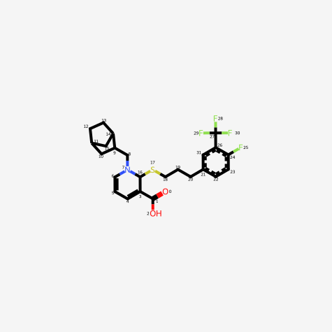 O=C(O)C1=CC=CN(CC2CC3CCC2C3)C1SCCCc1ccc(F)c(C(F)(F)F)c1